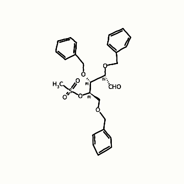 CS(=O)(=O)O[C@H](COCc1ccccc1)[C@H](OCc1ccccc1)[C@@H](C=O)OCc1ccccc1